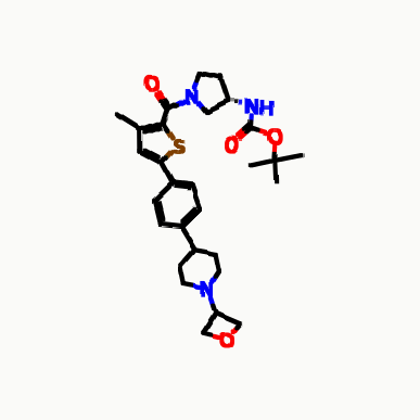 Cc1cc(-c2ccc(C3CCN(C4COC4)CC3)cc2)sc1C(=O)N1CC[C@H](NC(=O)OC(C)(C)C)C1